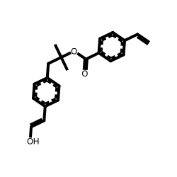 C=Cc1ccc(C(=O)OC(C)(C)Cc2ccc(C=CO)cc2)cc1